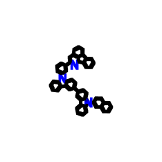 c1cc(-c2cc3cccc4c3c(n2)-c2ccccc2-4)cc(-n2c3ccccc3c3cc(-c4ccc5c(c4)c4ccccc4n5-c4ccc5ccccc5c4)ccc32)c1